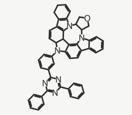 C1=Cc2c(c3c4n2C2COCC2n2c5ccccc5c5ccc6c(c52)C4C(C=C3)N6c2cccc(-c3nc(-c4ccccc4)nc(-c4ccccc4)n3)c2)CC1